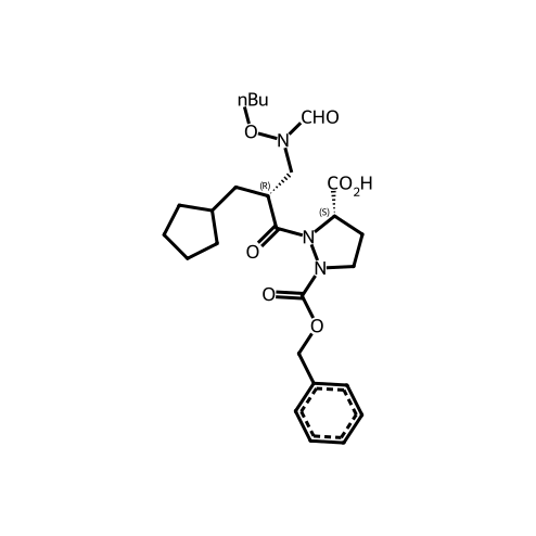 CCCCON(C=O)C[C@@H](CC1CCCC1)C(=O)N1[C@H](C(=O)O)CCN1C(=O)OCc1ccccc1